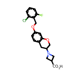 O=C(O)C1CN(C2COc3cc(OCc4c(F)cccc4Cl)ccc3C2)C1